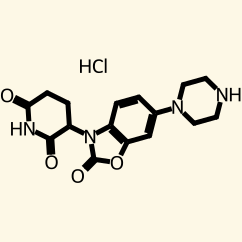 Cl.O=C1CCC(n2c(=O)oc3cc(N4CCNCC4)ccc32)C(=O)N1